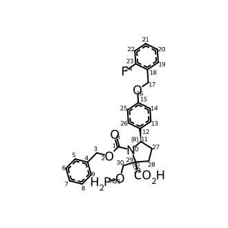 O=C(OCc1ccccc1)N1[C@@H](c2ccc(OCc3ccccc3F)cc2)CC[C@@]1(COP)C(=O)O